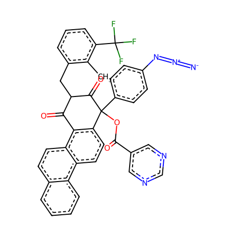 Cc1c(CC2C(=O)c3c(ccc4c3ccc3ccccc34)C(OC(=O)c3cncnc3)(c3ccc(N=[N+]=[N-])cc3)C2=O)cccc1C(F)(F)F